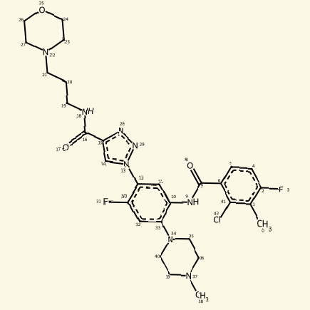 Cc1c(F)ccc(C(=O)Nc2cc(-n3cc(C(=O)NCCCN4CCOCC4)nn3)c(F)cc2N2CCN(C)CC2)c1Cl